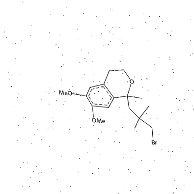 COc1cc2c(cc1OC)C(C)(CC(C)(C)CBr)OCC2